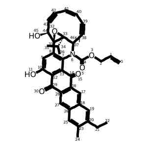 C=CCOC(=O)N1c2c(cc(O)c3c2C(=O)c2cc4cc(CC)c(C)cc4cc2C3=O)[C@@]23O[C@@]2(C(C)C)[C@@H]1C#C/C=C\C#C[C@@H]3O